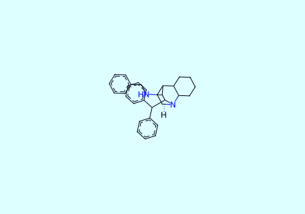 c1ccc(CNC2C3CCN(C4CCCCC34)[C@H]2C(c2ccccc2)c2ccccc2)cc1